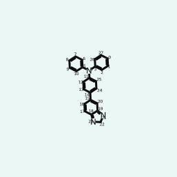 c1ccc(N(c2ccccc2)c2ccc(-c3ccc4c(c3)=NCN=4)cc2)cc1